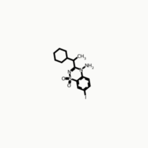 CC(C1=NS(=O)(=O)c2cc(I)ccc2N1N)C1CCCCC1